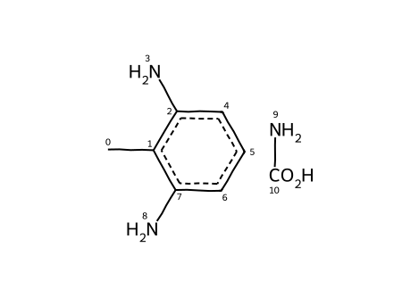 Cc1c(N)cccc1N.NC(=O)O